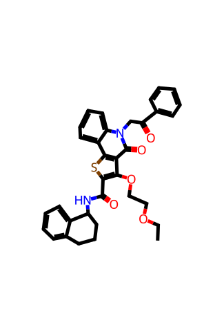 CCOCCOc1c(C(=O)NC2CCCc3ccccc32)sc2c1c(=O)n(CC(=O)c1ccccc1)c1ccccc21